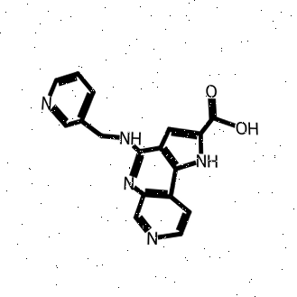 O=C(O)c1cc2c(NCc3cccnc3)nc3cnccc3c2[nH]1